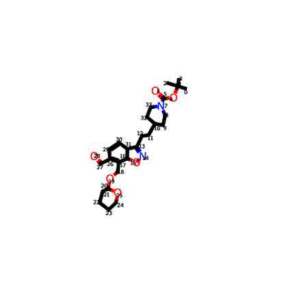 CC(C)(C)OC(=O)N1CCC(CCC2=NOC3C(COC4CCCCO4)=C(C=O)C=CC23)CC1